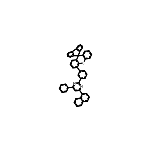 c1ccc(-c2cc(-c3cccc4ccccc34)nc(-c3cccc(-c4cccc5c4Sc4ccccc4C54c5ccccc5-c5ccccc54)c3)n2)cc1